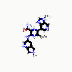 CCN1Cc2cc(Nc3nc(NC)c(-c4cncc5c4ncn5C)nc3C(N)=O)cnc2C1